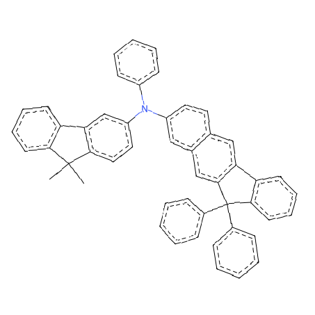 CC1(C)c2ccccc2-c2cc(N(c3ccccc3)c3ccc4cc5c(cc4c3)C(c3ccccc3)(c3ccccc3)c3ccccc3-5)ccc21